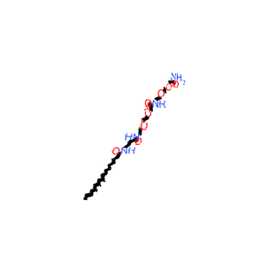 CCCCCCCCCCCCCCCCCC(=O)NCCCC(=O)NCCOCCOCC(=O)NCCOCCOCC(N)=O